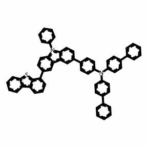 c1ccc(-c2ccc(N(c3ccc(-c4ccccc4)cc3)c3ccc(-c4ccc5c(c4)c4cc(-c6cccc7c6sc6ccccc67)ccc4n5-c4ccccc4)cc3)cc2)cc1